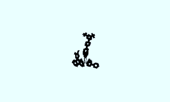 CCCC1(CCC)c2ccccc2-c2ccc(N(c3ccc(-c4ccc(-c5cc(C(C)(C)C)cc(C(C)(C)C)c5)cc4)cc3)c3ccc(C4CCCCC4)cc3)cc21